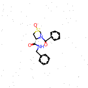 O=C(NCc1ccccc1)[C@@H]1C[S+]([O-])CN1C(=O)c1ccccc1